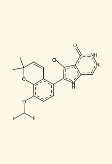 CC1(C)C=Cc2c(-c3[nH]c4cn[nH]c(=O)c4c3Cl)ccc(OC(F)F)c2O1